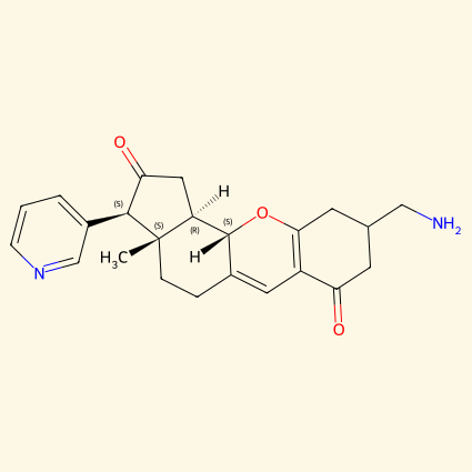 C[C@]12CCC3=CC4=C(CC(CN)CC4=O)O[C@H]3[C@@H]1CC(=O)[C@@H]2c1cccnc1